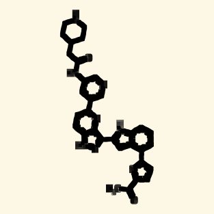 CC(=O)c1ccc(-c2cccc3[nH]c(-c4n[nH]c5ccc(-c6cncc(NC(=O)CC7CCNCC7)c6)nc45)cc23)s1